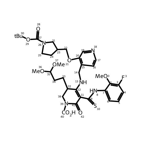 COc1c(F)cccc1NC(=S)C1=C(NCc2ccncc2OCC2CCN(C(=O)OC(C)(C)C)C2)C(CCC(OC)OC)CN(C(=O)O)C1=O